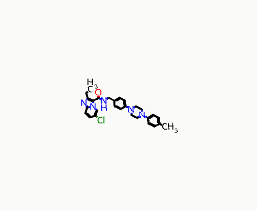 CCc1nc2ccc(Cl)cn2c1C(=O)NCc1ccc(N2CCN(c3ccc(C)cc3)CC2)cc1